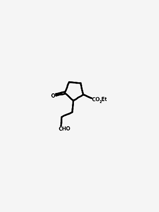 CCOC(=O)C1CCC(=O)C1CCC=O